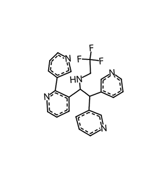 FC(F)(F)CNC(c1cccnc1-c1cccnc1)C(c1cccnc1)c1cccnc1